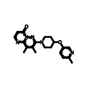 Cc1ccc(OC2CCN(c3nn4c(=O)ccnc4c(C)c3C)CC2)cn1